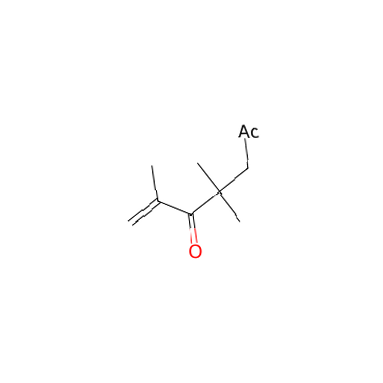 C=C(C)C(=O)C(C)(C)CC(C)=O